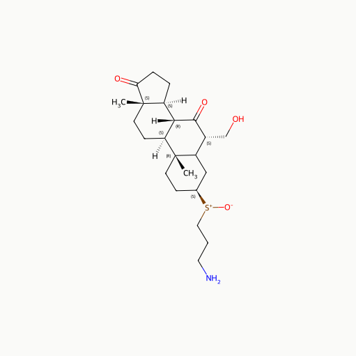 C[C@]12CC[C@H]([S+]([O-])CCCN)CC1[C@@H](CO)C(=O)[C@@H]1[C@@H]2CC[C@]2(C)C(=O)CC[C@@H]12